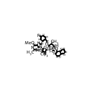 COc1nc(C)nc2c1ncn2[C@@H]1O[C@H](COP(=O)(N[C@@H](C)C(=O)OCc2ccc(F)cc2F)Oc2cccc3ccccc23)[C@@H](F)[C@@]1(C)O